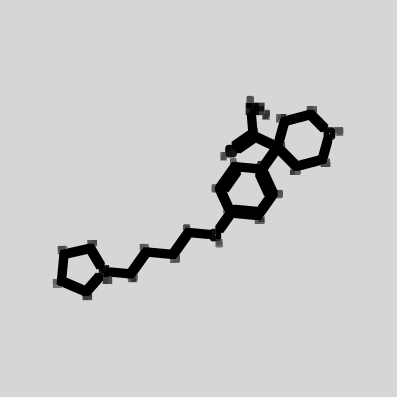 NC(=O)C1(c2ccc(OCCCCN3CCCC3)cc2)CCOCC1